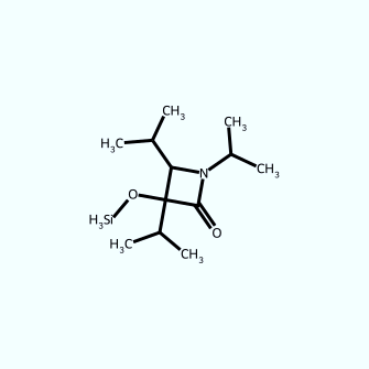 CC(C)C1N(C(C)C)C(=O)C1(O[SiH3])C(C)C